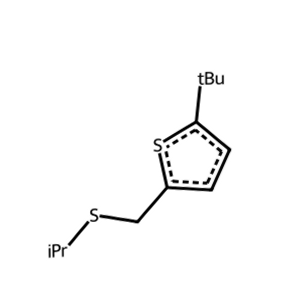 CC(C)SCc1ccc(C(C)(C)C)s1